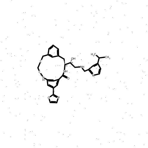 CC(C)c1ccnc(CNC[C@@H](O)[C@@H]2Cc3cccc(c3)CCCCNc3cc(cc(-c4ncco4)c3)C(=O)N2)c1